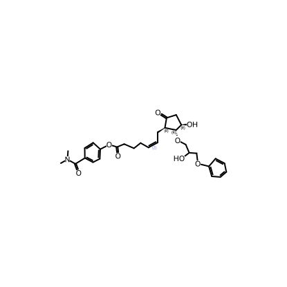 CN(C)C(=O)c1ccc(OC(=O)CCC/C=C\C[C@H]2C(=O)C[C@@H](O)[C@@H]2OCC(O)COc2ccccc2)cc1